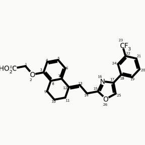 O=C(O)COc1cccc2c1CCCC2=CCc1nc(-c2cccc(C(F)(F)F)c2)co1